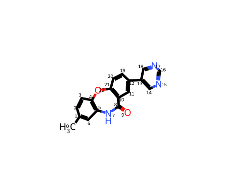 Cc1ccc2c(c1)NC(=O)c1cc(-c3cncnc3)ccc1O2